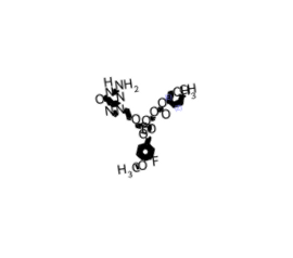 C#C/C=C\C(=C/C)OC(=O)OCOP(=O)(COCCn1cnc2c(=O)[nH]c(N)nc21)OCc1ccc(OC)c(F)c1